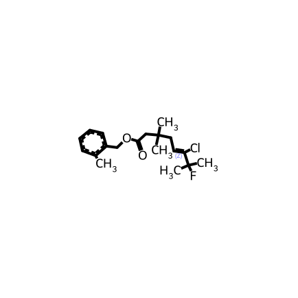 Cc1ccccc1COC(=O)CC(C)(C)C/C=C(\Cl)C(C)(C)F